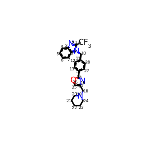 FC(F)(F)c1nc2ccccc2n1Cc1ccc(-c2nc(CN3CCCCC3)co2)cc1